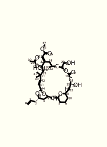 C=CC[C@H]1CC2C[C@H]3CCC[C@@H](C[C@@H](O)CC(=O)OC(CO)CC4BC(O)([C@@H](OC(C)=O)/C(=C/C(=O)OC)C4)C(C)(C)/C=C/C(O2)O1)O3